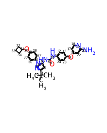 CC(C)(C)c1cc(NC(=O)Nc2ccc(Oc3ccnc(N)c3)cc2)n(-c2ccc(OC3CCC3)cc2)n1